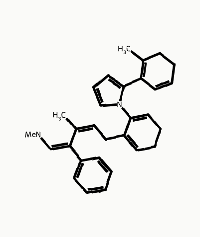 CN/C=C(\C(C)=C/CC1=CCCC=C1n1cccc1C1=C(C)CCC=C1)c1ccccc1